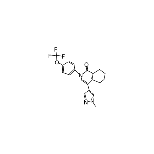 Cn1cc(-c2cn(-c3ccc(OC(F)(F)F)cc3)c(=O)c3c2CCCC3)cn1